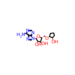 Nc1ncnc2c1ncn2[C@@H]1O[C@H](CO[C@@H]2CCC[C@H]2O)[C@@H](O)[C@H]1O